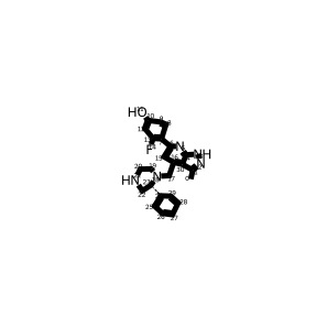 Cc1n[nH]c2nc(-c3ccc(O)cc3F)cc(CN3CCNC[C@H]3c3ccccc3)c12